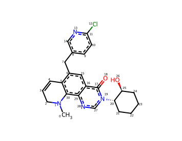 CN1CC=Cc2c(Cc3ccc(Cl)nc3)cc3c(=O)n([C@H]4CCCC[C@@H]4O)cnc3c21